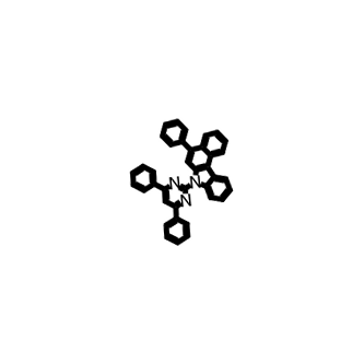 c1ccc(-c2cc(-c3ccccc3)nc(-n3c4ccccc4c4c5ccccc5c(-c5ccccc5)cc43)n2)cc1